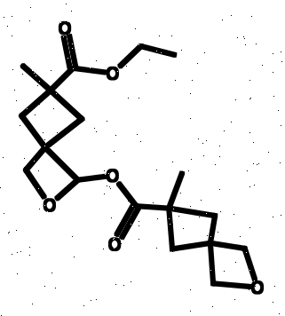 CCOC(=O)C1(C)CC2(COC2OC(=O)C2(C)CC3(COC3)C2)C1